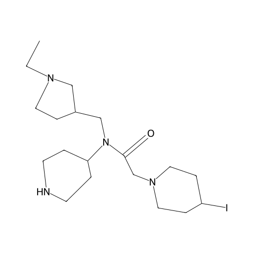 CCN1CCC(CN(C(=O)CN2CCC(I)CC2)C2CCNCC2)C1